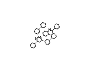 c1ccc(-c2cccc(-c3nc(-c4ccccc4)cc(-c4cccc(-c5cccc6c(-c7ccccc7)nc7ccccc7c56)c4)n3)c2)cc1